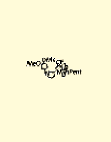 CCCCCS(=O)(=O)c1nc(C2=CN(Cc3ccc(OC)c(OC)c3)CC=C2)cc(C(F)(F)F)n1